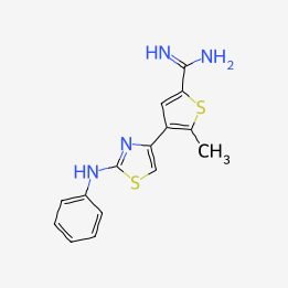 Cc1sc(C(=N)N)cc1-c1csc(Nc2ccccc2)n1